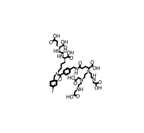 O=C(O)CC[C@@H](NC(=O)N[C@H](CCCCN(Cc1ccc(I)cc1)C(=O)c1ccc(CNC(=O)CCC(C(=O)O)N(CCNCC(=O)O)CCN(CCNCC(=O)O)CC(=O)O)cc1)C(=O)O)C(=O)O